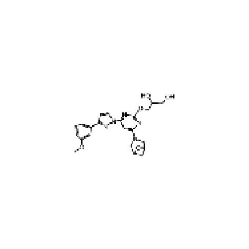 COc1cccc(-c2ccn(-c3cc(N4CC5CC(C4)O5)nc(OCC(O)CO)n3)n2)c1